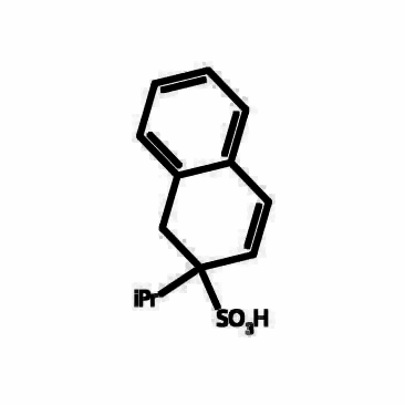 CC(C)C1(S(=O)(=O)O)C=Cc2ccccc2C1